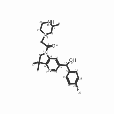 CC1CN(CC(=O)N2CC(C)(C)c3ncc(C(O)c4ccc(F)cc4)cc32)CCN1